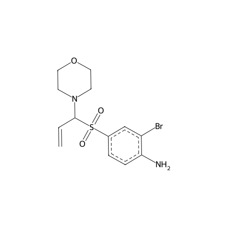 C=CC(N1CCOCC1)S(=O)(=O)c1ccc(N)c(Br)c1